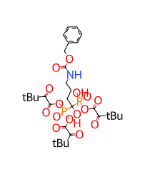 CC(C)(C)C(=O)C(=O)OP(=O)(O)C(O)(CCCNC(=O)OCc1ccccc1)P(=O)(OC(=O)C(=O)C(C)(C)C)OC(=O)C(=O)C(C)(C)C